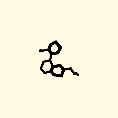 COc1ccc2c(c1)C(c1ccccc1Cl)CCC2